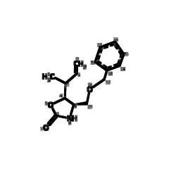 C=CC(C)C1OC(=O)N[C@@H]1COCc1ccccc1